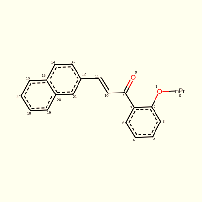 CCCOc1ccccc1C(=O)C=Cc1ccc2ccccc2c1